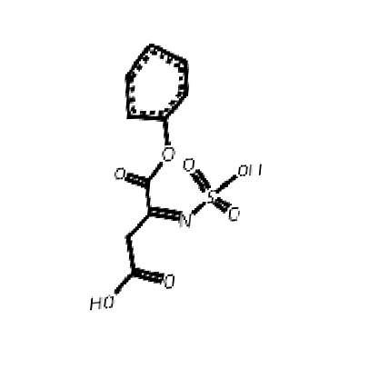 O=C(O)CC(=NS(=O)(=O)O)C(=O)Oc1ccccc1